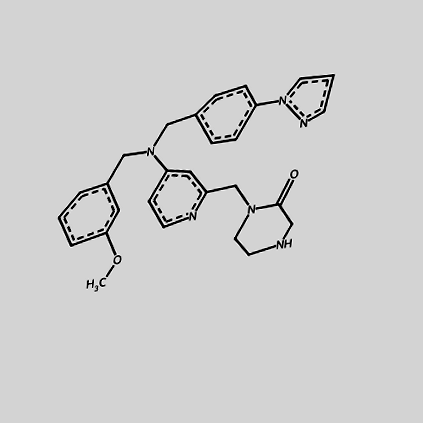 COc1cccc(CN(Cc2ccc(-n3cccn3)cc2)c2ccnc(CN3CCNCC3=O)c2)c1